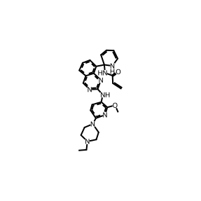 C=CC(=O)NC1(c2cccc3cnc(Nc4ccc(N5CCN(CC)CC5)nc4OC)nc23)C=CC=CN1